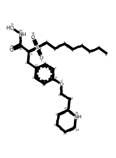 CCCCCCCCS(=O)(=O)C(Cc1ccc(OCCC2CCCCN2)cc1)C(=O)NO